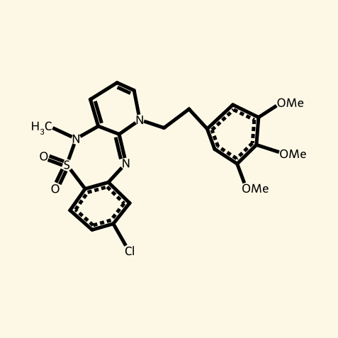 COc1cc(CCN2C=CC=C3C2=Nc2cc(Cl)ccc2S(=O)(=O)N3C)cc(OC)c1OC